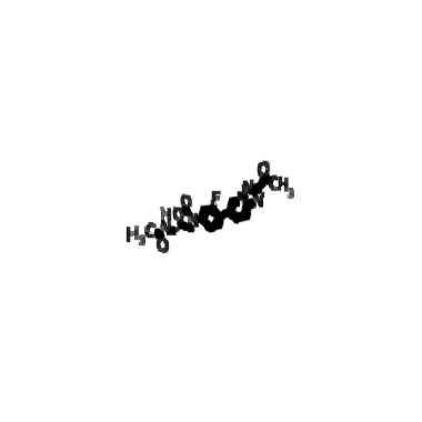 CC(=O)NC[C@H]1CN(c2ccc(-c3ccc4nc(C(C)=O)nn4c3)c(F)c2)C(=O)O1